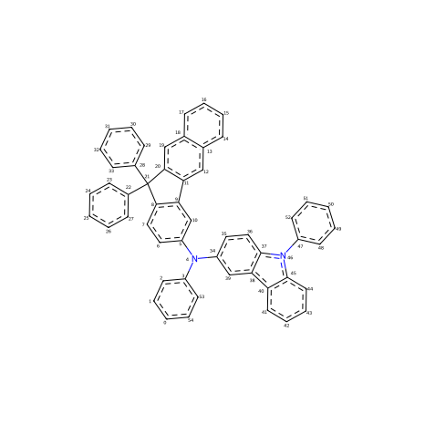 c1ccc(N(c2ccc3c(c2)-c2cc4ccccc4cc2C3(c2ccccc2)c2ccccc2)c2ccc3c(c2)c2ccccc2n3-c2ccccc2)cc1